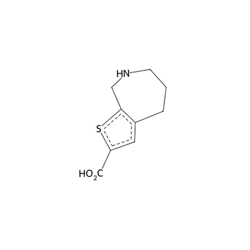 O=C(O)c1cc2c(s1)CNCCC2